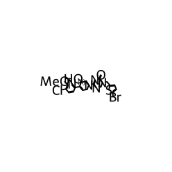 COc1nc(C2=CCN(c3ncn(Cc4ccc(Br)s4)c(=O)n3)C[C@@H]2O)ccc1Cl